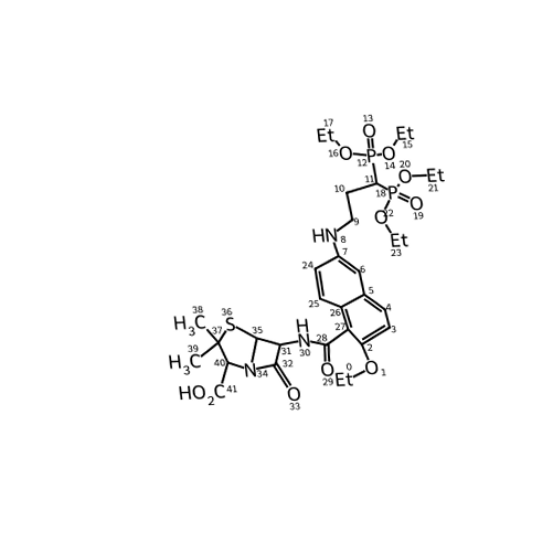 CCOc1ccc2cc(NCCC(P(=O)(OCC)OCC)P(=O)(OCC)OCC)ccc2c1C(=O)NC1C(=O)N2C1SC(C)(C)C2C(=O)O